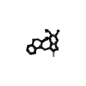 Cc1nc2cc(F)c(Br)cn2c1CN1C(=O)CSc2ccccc21